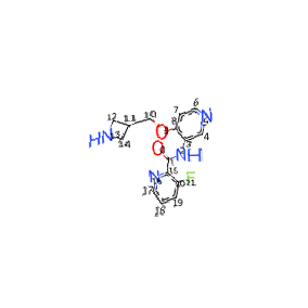 O=C(Nc1cnccc1OCC1CNC1)c1ncccc1F